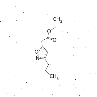 CCCc1cc(CC(=O)OCC)on1